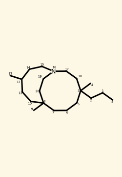 CCCC1(C)CCCC2(C)CCC(C)CCN(CC1)CC2